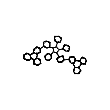 c1ccc(B2N(c3ccccc3)B(c3cccc(-c4ccc5c6ccccc6c6ccccc6c5c4)c3)N(c3ccccc3)N2c2cccc(-c3ccc4c5ccccc5c5ccccc5c4c3)c2)cc1